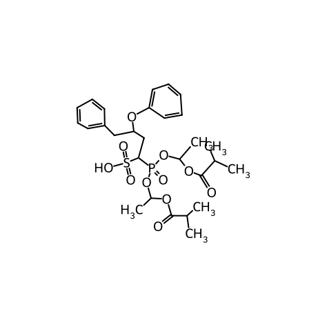 CC(OC(=O)C(C)C)OP(=O)(OC(C)OC(=O)C(C)C)C(CC(Cc1ccccc1)Oc1ccccc1)S(=O)(=O)O